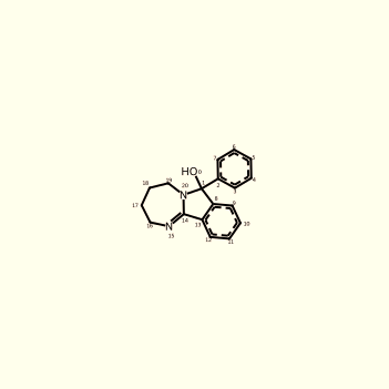 OC1(c2ccccc2)c2ccccc2C2=NCCCCN21